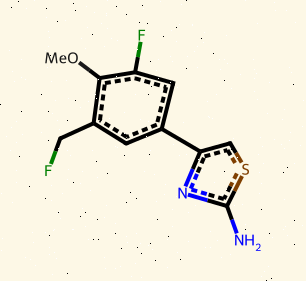 COc1c(F)cc(-c2csc(N)n2)cc1CF